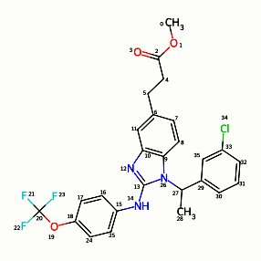 COC(=O)CCc1ccc2c(c1)nc(Nc1ccc(OC(F)(F)F)cc1)n2C(C)c1cccc(Cl)c1